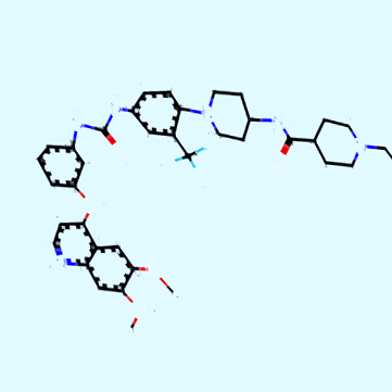 CCN1CCC(C(=O)NC2CCN(c3ccc(NC(=O)Nc4cccc(Oc5ccnc6cc(OC)c(OC)cc56)c4)cc3C(F)(F)F)CC2)CC1